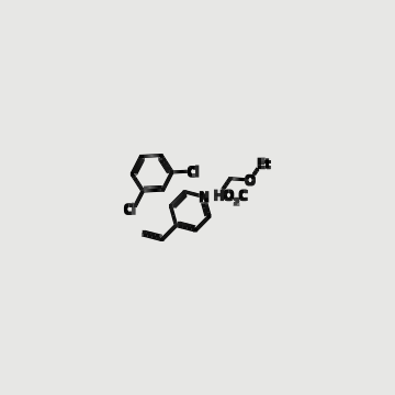 C=Cc1ccncc1.CCOCC(=O)O.Clc1cccc(Cl)c1